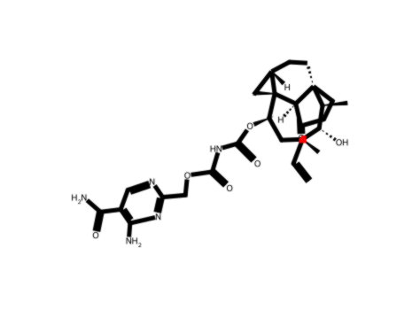 C=C[C@]1(C)C[C@@H](OC(=O)NC(=O)OCc2ncc(C(N)=O)c(N)n2)[C@]23C[C@@H]2CC[C@]2(CCC(=O)[C@H]23)[C@@H](C)[C@@H]1O